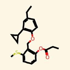 CCC(=O)Oc1cccc(SC)c1COc1ccc(CC)cc1C1CC1